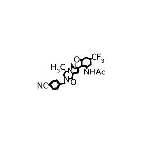 CC(=O)NC1=C(c2cc3n(n2)[C@@H](C)CN(Cc2ccc(C#N)cc2)C3=O)C(=O)CC(C(F)(F)F)C1